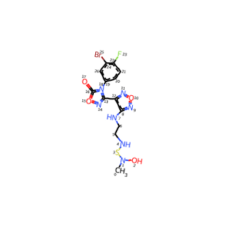 CN(O)SNCCNc1nonc1-c1noc(=O)n1-c1ccc(F)c(Br)c1